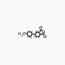 Cc1ccc(-c2ccc3c(c2)C(=O)OC3=O)cc1